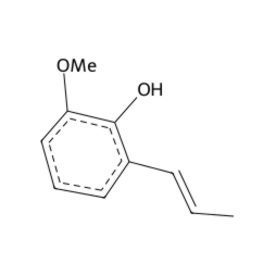 CC=Cc1cccc(OC)c1O